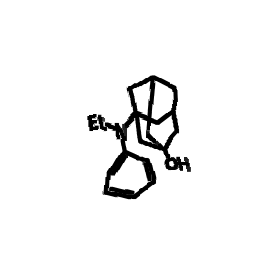 CCN(c1ccccc1)C12CC3CC(CC(O)(C3)C1)C2